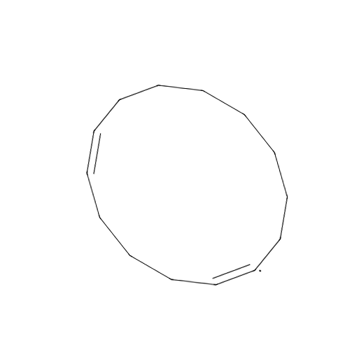 [C]1=CCCCC=CCCCCCCC1